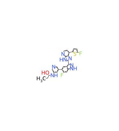 CCC(O)Nc1cncc(-c2cc3c(-c4nc5c(-c6ccc(F)s6)ccnc5[nH]4)n[nH]c3cc2F)c1